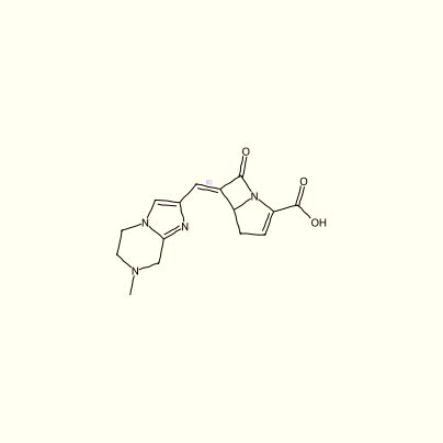 CN1CCn2cc(/C=C3/C(=O)N4C(C(=O)O)=CCC34)nc2C1